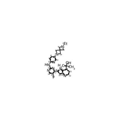 CCN1CC2(C1)CN(c1ccc(Nc3ncc(F)c(-c4cc5nccc(C(C)(C)O)c5s4)n3)nc1)C2